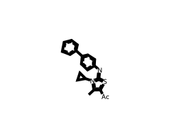 CC(=O)c1s/c(=N/c2ccc(-c3ccccc3)cc2)n(C2CC2)c1C